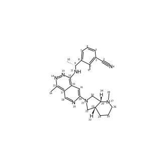 Cc1c(C#N)cccc1[C@@H](C)Nc1nnc(C)c2cnc(N3C[C@H]4CCCN(C)[C@H]4C3)cc12